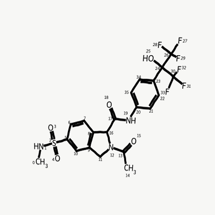 CNS(=O)(=O)c1ccc2c(c1)CN(C(C)=O)C2C(=O)Nc1ccc(C(O)(C(F)(F)F)C(F)(F)F)cc1